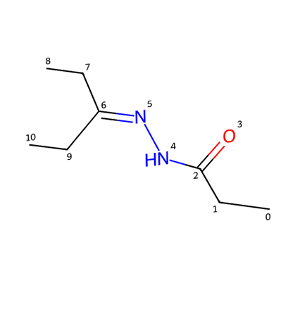 CCC(=O)NN=C(CC)CC